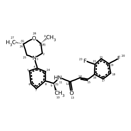 C[C@@H]1CN(c2cccc([C@H](C)NC(=O)C=Cc3ccc(F)cc3F)c2)C[C@H](C)O1